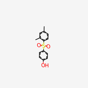 Cc1ccc(S(=O)(=O)c2ccc(O)cc2)c(C)c1